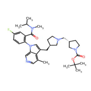 Cc1cncc2c1c(C[C@H]1CCN(C[C@@H]3CCN(C(=O)OC(C)(C)C)C3)C1)cn2-c1ccc(F)cc1C(=O)N(C)C(C)C